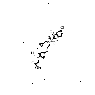 Cc1cc(SCCN(CC2CC2)S(=O)(=O)c2sc3ccc(Cl)cc3c2C)ccc1OCC(=O)O